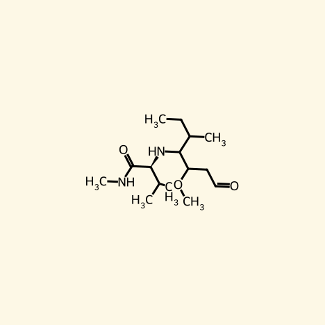 CCC(C)C(N[C@H](C(=O)NC)C(C)C)C(CC=O)OC